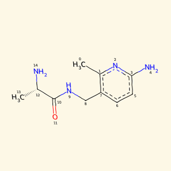 Cc1nc(N)ccc1CNC(=O)[C@H](C)N